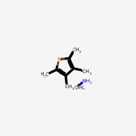 Cc1sc(C)c(C)c1C.NC=O